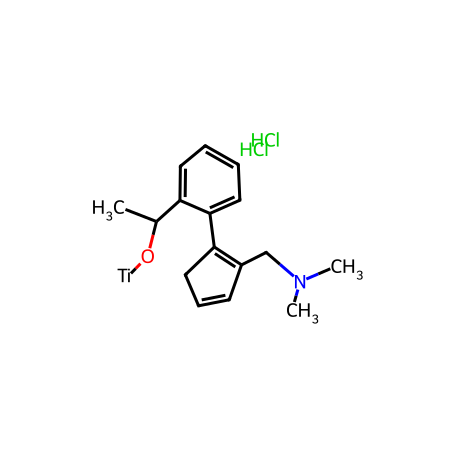 CC([O][Ti])c1ccccc1C1=C(CN(C)C)C=CC1.Cl.Cl